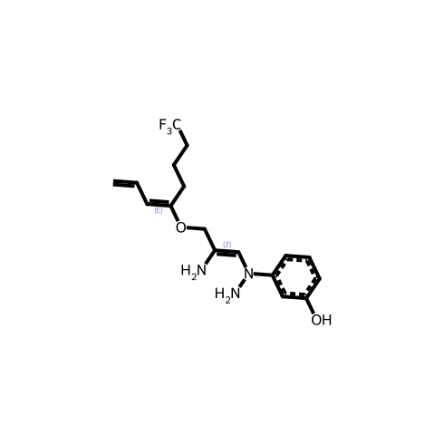 C=C/C=C(\CCCC(F)(F)F)OC/C(N)=C/N(N)c1cccc(O)c1